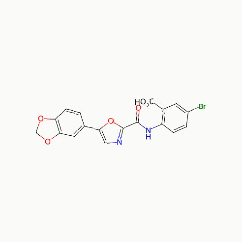 O=C(Nc1ccc(Br)cc1C(=O)O)c1ncc(-c2ccc3c(c2)OCO3)o1